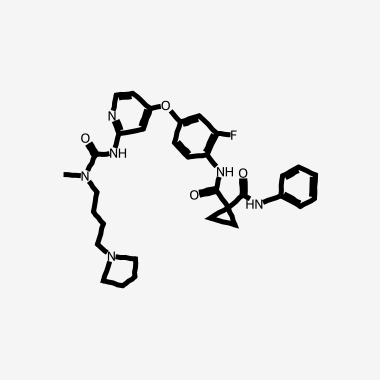 CN(CCCCN1CCCC1)C(=O)Nc1cc(Oc2ccc(NC(=O)C3(C(=O)Nc4ccccc4)CC3)c(F)c2)ccn1